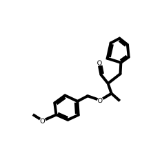 COc1ccc(COC(C)C(C=O)Cc2ccccc2)cc1